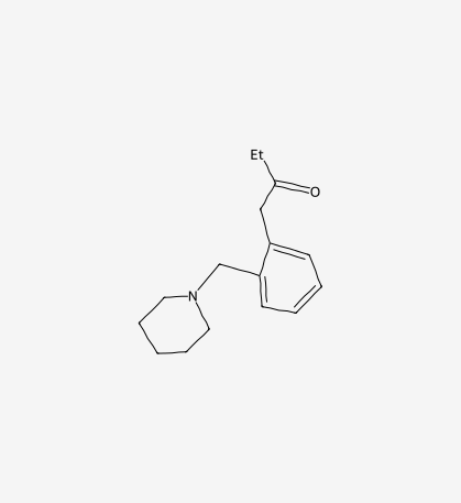 CCC(=O)Cc1ccccc1CN1CCCCC1